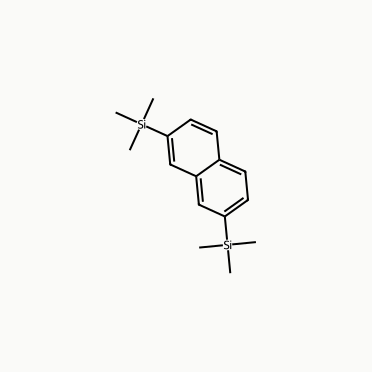 C[Si](C)(C)c1ccc2ccc([Si](C)(C)C)cc2c1